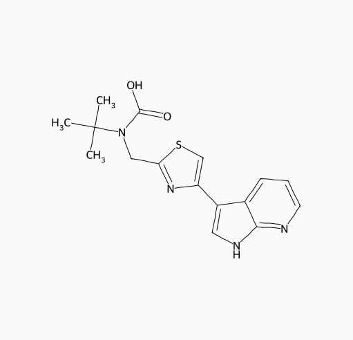 CC(C)(C)N(Cc1nc(-c2c[nH]c3ncccc23)cs1)C(=O)O